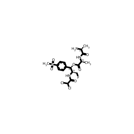 C[C@H](N)C(=O)N[C@@H](C)C(=O)O[C@H](c1ccc(S(C)(=O)=O)cc1)[C@@H](CF)NC(=O)C(Cl)Cl